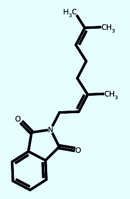 CC(C)=CCCC(C)=CCN1C(=O)c2ccccc2C1=O